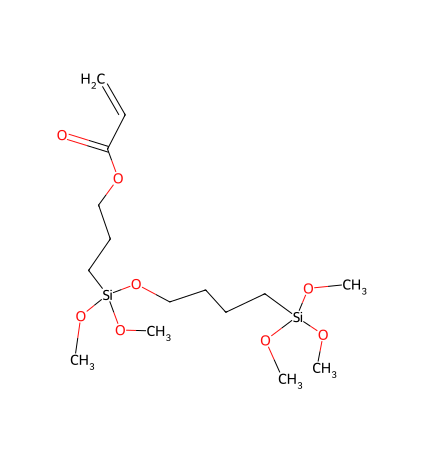 C=CC(=O)OCCC[Si](OC)(OC)OCCCC[Si](OC)(OC)OC